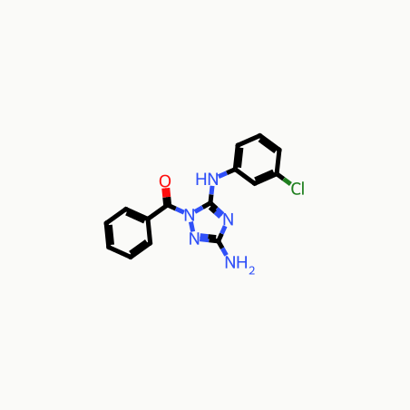 Nc1nc(Nc2cccc(Cl)c2)n(C(=O)c2ccccc2)n1